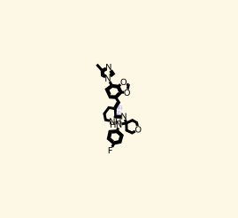 Cc1cn(-c2ccc(/C=C3\CCCN\C3=N/C3(Nc4ccc(F)cc4)CCOCC3)c3c2OCO3)cn1